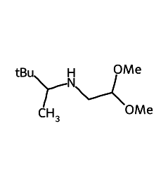 COC(CNC(C)C(C)(C)C)OC